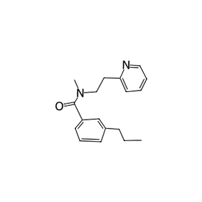 CCCc1cccc(C(=O)N(C)CCc2ccccn2)c1